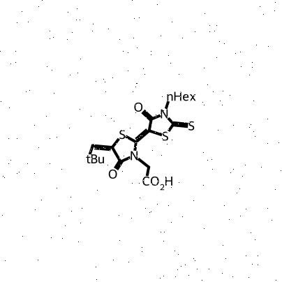 CCCCCCN1C(=O)/C(=c2\s/c(=C/C(C)(C)C)c(=O)n2CC(=O)O)SC1=S